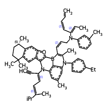 C#C/C(=C\C=C(/C)C(C)C)N1c2cc(C)cc3c2B(C(/C=C\CN(C(/C=C\C=C)=C\C)c2cccc(C)c2)=C(C)N3c2ccc(CC)cc2)c2oc3cc4c(cc3c21)C(C)(C)CC[C@@H]4C